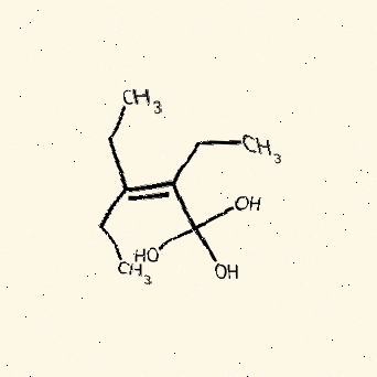 CCC(CC)=C(CC)C(O)(O)O